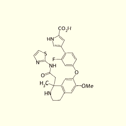 COc1cc2c(cc1Oc1ccc(-c3c[nH]c(C(=O)O)c3)c(F)c1)C(C)(CC(=O)Nc1nccs1)NCC2